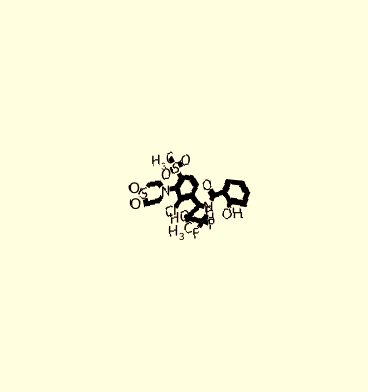 CC(O)(C(NC(=O)c1ccccc1O)c1ccc(S(C)(=O)=O)c(N2CCS(=O)(=O)CC2)c1Cl)C(F)(F)F